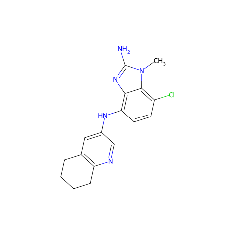 Cn1c(N)nc2c(Nc3cnc4c(c3)CCCC4)ccc(Cl)c21